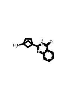 NC12CCC(c3nc4ccccc4c(=O)[nH]3)(C1)C2